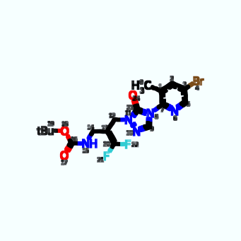 Cc1cc(Br)cnc1-n1cnn(CC(CNC(=O)OC(C)(C)C)=C(F)F)c1=O